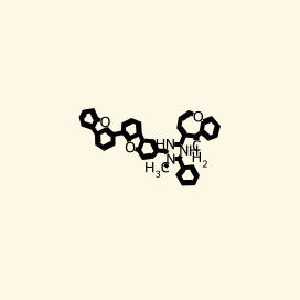 C=C1/C(C2NC(C3=CC4c5cccc(-c6cccc7c6oc6ccccc67)c5OC4C=C3)N(C)C(c3ccccc3)N2)=C\C=C/Oc2ccccc21